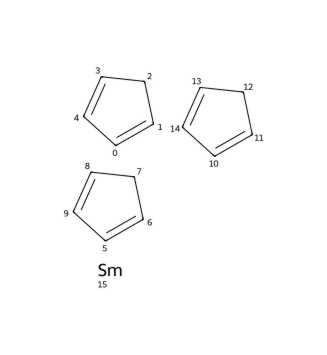 C1=CCC=C1.C1=CCC=C1.C1=CCC=C1.[Sm]